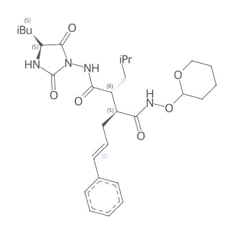 CC[C@H](C)[C@@H]1NC(=O)N(NC(=O)[C@H](CC(C)C)[C@H](C/C=C/c2ccccc2)C(=O)NOC2CCCCO2)C1=O